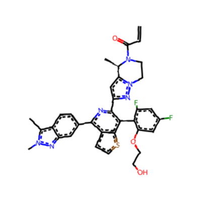 C=CC(=O)N1CCn2nc(-c3nc(-c4ccc5c(C)n(C)nc5c4)c4ccsc4c3-c3c(F)cc(F)cc3OCCO)cc2[C@H]1C